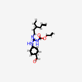 C=CCOC(=O)N/C(=N\CCC(CC)CC=C)Nc1ccc(C=O)cc1